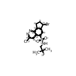 CC(C)(F)CNS(=O)(=O)c1cc2c(c3nnc(Cl)cc13)CCC2Br